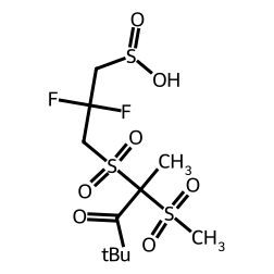 CC(C)(C)C(=O)C(C)(S(C)(=O)=O)S(=O)(=O)CC(F)(F)CS(=O)O